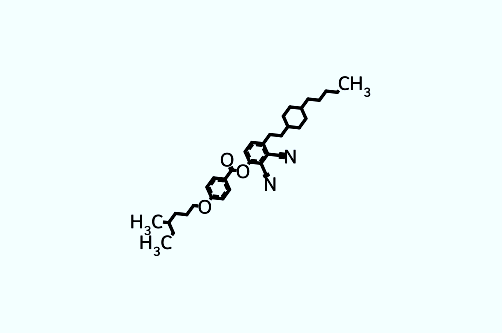 CCCCCC1CCC(CCc2ccc(OC(=O)c3ccc(OCCCC(C)CC)cc3)c(C#N)c2C#N)CC1